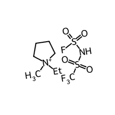 CC[N+]1(C)CCCC1.O=S(=O)(F)NS(=O)(=O)C(F)(F)F